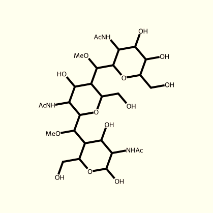 COC(C1OC(CO)C(C(OC)C2OC(CO)C(O)C(O)C2NC(C)=O)C(O)C1NC(C)=O)C1C(CO)OC(O)C(NC(C)=O)C1O